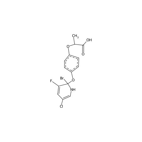 CC(Oc1ccc(OC2(Br)NC=C(Cl)C=C2F)cc1)C(=O)O